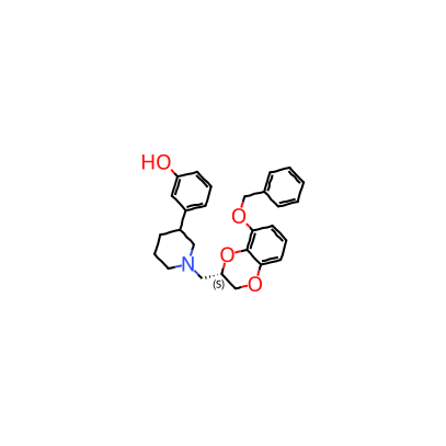 Oc1cccc(C2CCCN(C[C@H]3COc4cccc(OCc5ccccc5)c4O3)C2)c1